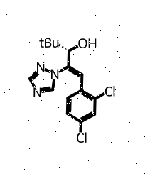 CC(C)(C)[C@H](O)/C(=C/c1ccc(Cl)cc1Cl)n1cncn1